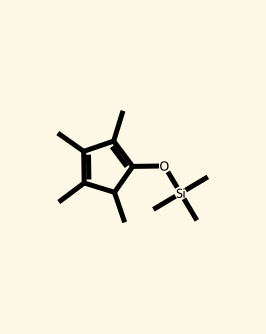 CC1=C(C)C(C)C(O[Si](C)(C)C)=C1C